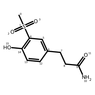 CS(=O)(=O)c1cc(CCC(N)=O)ccc1O